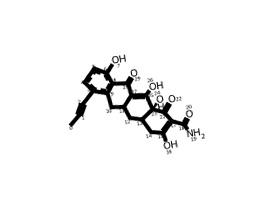 CC#Cc1ccc(O)c2c1CC1CC3CC(O)=C(C(N)=O)C(=O)[C@@]3(O)C(O)=C1C2=O